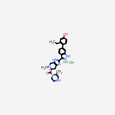 CCc1cc(O)ccc1-c1ccc2c(-c3nc4c([nH]3)CN(C)[C@H](C(=O)N3CCNC[C@@H]3C)C4)n[nH]c2c1.Cl.Cl